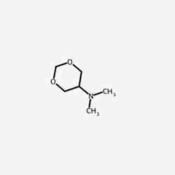 CN(C)C1COCOC1